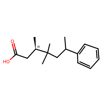 CC(CC(C)(C)[C@H](C)CC(=O)O)c1ccccc1